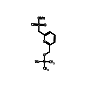 COS(=O)(=O)Cc1cccc(CO[Si](C)(C)C(C)(C)C)n1